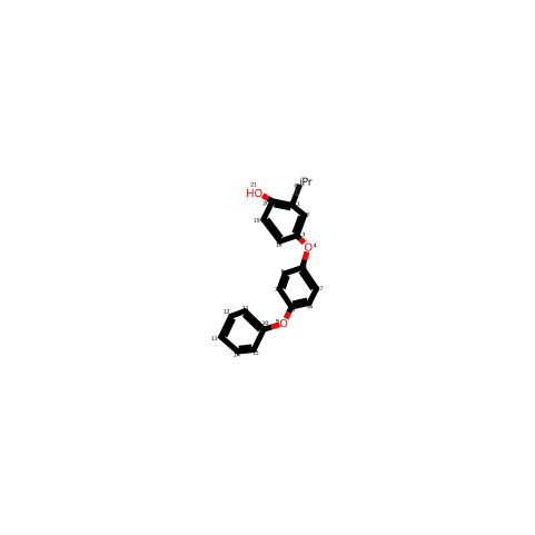 CC(C)c1cc(Oc2ccc(Oc3ccccc3)cc2)ccc1O